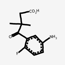 CC(C)(CC(=O)O)C(=O)c1cc(N)ccc1F